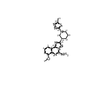 COc1cccc2c1nc(N)n1nc([C@@H]3CCCN(c4nnc(C)s4)C3)nc21